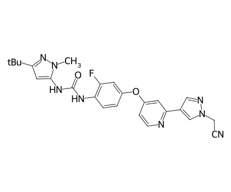 Cn1nc(C(C)(C)C)cc1NC(=O)Nc1ccc(Oc2ccnc(-c3cnn(CC#N)c3)c2)cc1F